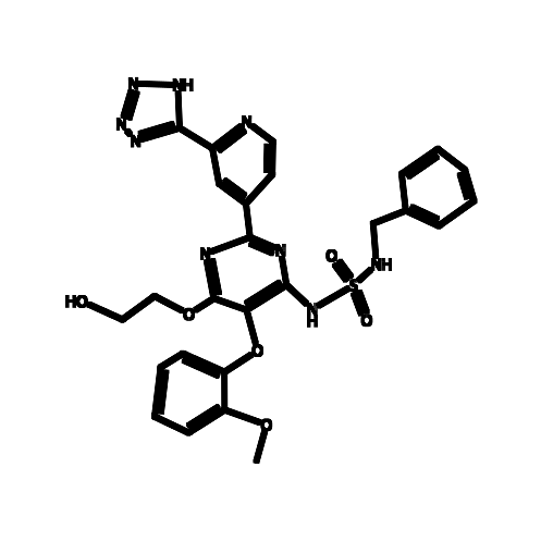 COc1ccccc1Oc1c(NS(=O)(=O)NCc2ccccc2)nc(-c2ccnc(-c3nnn[nH]3)c2)nc1OCCO